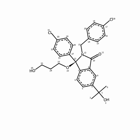 CC(C)(O)c1ccc2c(c1)C(=O)N(Cc1ccc(Cl)cc1)[C@@]2(OCCCO)c1ccc(Cl)cc1